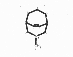 CN1CC2C=CC(CCC2)C1